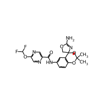 CC1(C)Oc2ccc(NC(=O)c3cnc(OC(F)F)cn3)cc2C2(COC(N)=N2)C12COC2